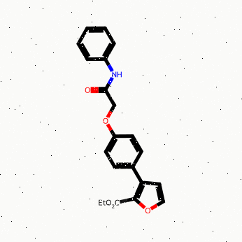 CCOC(=O)c1occc1-c1ccc(OCC(=O)Nc2ccccc2)cc1